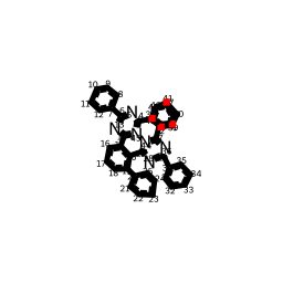 c1ccc(-c2nc(-c3ccccc3)nc(-c3cccc(-c4ccccc4)c3-c3nc(-c4ccccc4)nc(-c4ccccc4)n3)n2)cc1